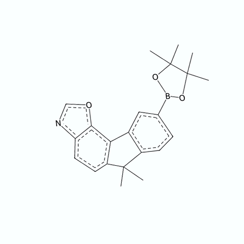 CC1(C)c2ccc(B3OC(C)(C)C(C)(C)O3)cc2-c2c1ccc1ncoc21